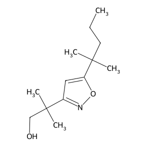 CCCC(C)(C)c1cc(C(C)(C)CO)no1